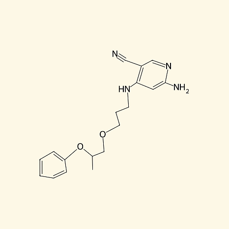 CC(COCCCNc1cc(N)ncc1C#N)Oc1ccccc1